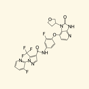 O=C(Nc1ccc(Oc2ccnc3[nH]c(=O)n(C4CCOC4)c23)c(F)c1)c1cnn(-c2ncccc2F)c1C(F)(F)F